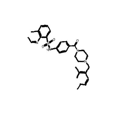 C/C=N\c1c(C)cccc1S(=O)(=O)Nc1ccc(C(=O)N2CCN(CC(/C=C\CC)=C(C)C)CC2)cc1